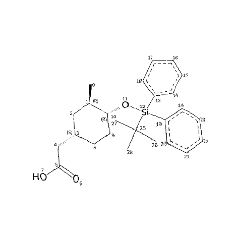 C[C@@H]1C[C@@H](CC(=O)O)CC[C@H]1O[Si](c1ccccc1)(c1ccccc1)C(C)(C)C